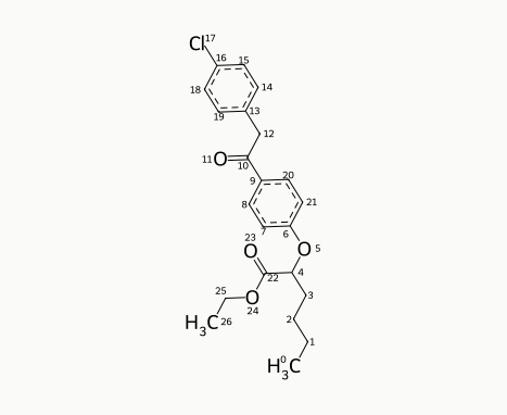 CCCCC(Oc1ccc(C(=O)Cc2ccc(Cl)cc2)cc1)C(=O)OCC